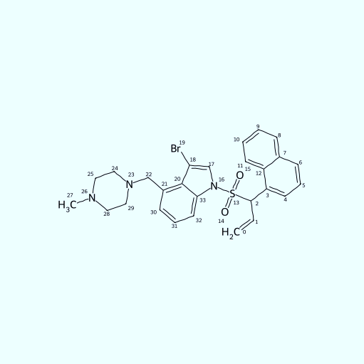 C=CC(c1cccc2ccccc12)S(=O)(=O)n1cc(Br)c2c(CN3CCN(C)CC3)cccc21